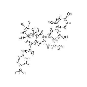 CN(C)c1ccc(NC(=O)C2=C[C@@H]3OC(C)(C)O[C@@H]3[C@@H](O[C@@H](C(N)=O)[C@H]3O[C@@H](n4ccc(=O)[nH]c4=O)[C@H](O)[C@@H]3CO)O2)cc1